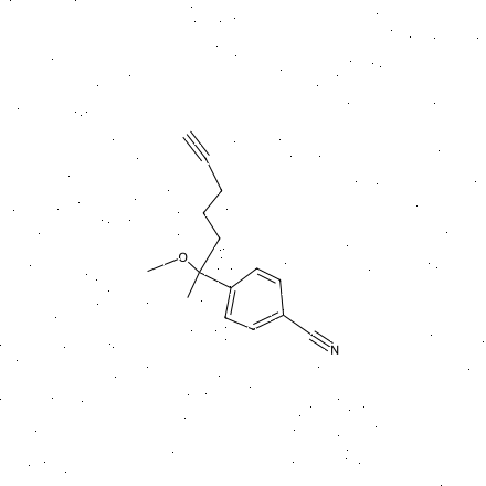 C#CCCCC(C)(OC)c1ccc(C#N)cc1